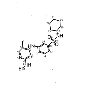 CCNc1ncc(C)c(Nc2cccc(S(=O)(=O)NC3CCCCC3)c2)n1